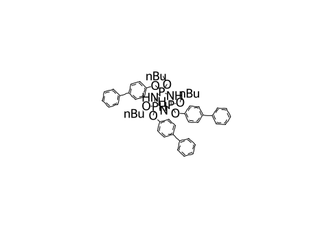 CCCCOP1(Oc2ccc(-c3ccccc3)cc2)=N[PH](OCCCC)(Oc2ccc(-c3ccccc3)cc2)N[PH](OCCCC)(Oc2ccc(-c3ccccc3)cc2)N1